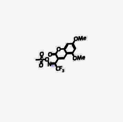 COc1cc(OC)c2cc(/C(=N\OS(C)(=O)=O)C(F)(F)F)c(=O)oc2c1